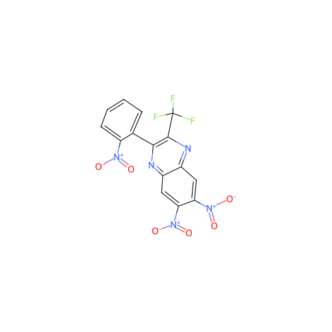 O=[N+]([O-])c1ccccc1-c1nc2cc([N+](=O)[O-])c([N+](=O)[O-])cc2nc1C(F)(F)F